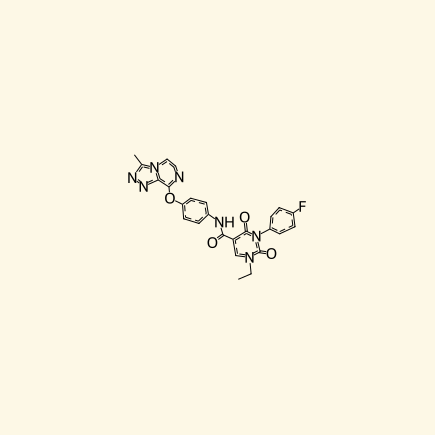 CCn1cc(C(=O)Nc2ccc(Oc3nccn4c(C)nnc34)cc2)c(=O)n(-c2ccc(F)cc2)c1=O